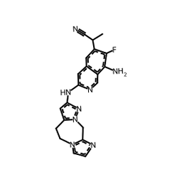 CC(C#N)c1cc2cc(Nc3cc4n(n3)Cc3nccn3CC4)ncc2c(N)c1F